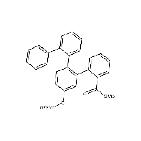 CCCCCOc1ccc(-c2ccccc2-c2ccccc2)c(-c2ccccc2C(=O)OC)c1